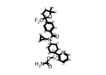 CC1(C)CCC(c2ccc(C(=O)N(C3CC3)[C@H]3CC[C@](COC(N)=O)(c4ccccn4)CC3)cc2)(C(F)(F)F)O1